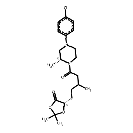 CC(CC[C@@H]1OC(C)(C)OC1=O)CC(=O)N1CCN(c2ccc(Cl)cc2)C[C@H]1C